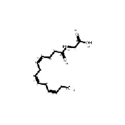 CC/C=C\C/C=C\C/C=C\CCC(=O)NCC(=O)O